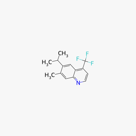 Cc1cc2nccc(C(F)(F)F)c2cc1C(C)C